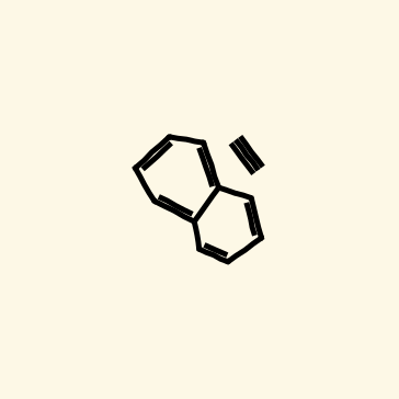 C#C.c1ccc2ccccc2c1